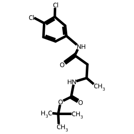 CC(CC(=O)Nc1ccc(Cl)c(Cl)c1)NC(=O)OC(C)(C)C